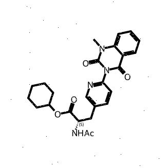 CC(=O)N[C@@H](Cc1ccc(-n2c(=O)c3ccccc3n(C)c2=O)nc1)C(=O)OC1CCCCC1